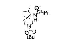 CC1CCC2(CCN(C(=O)OC(C)(C)C)CC2)[C@@H]1N[S+]([O-])C(C)C